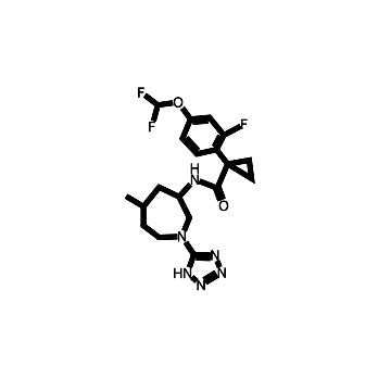 CC1CCN(c2nnn[nH]2)CC(NC(=O)C2(c3ccc(OC(F)F)cc3F)CC2)C1